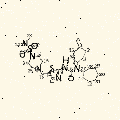 CC1CCC(N(C(=O)Nc2ncc(CN3CCN(S(=O)(=O)N(C)C)CC3)s2)C2CCCCCC2)CC1